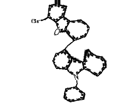 Brc1cccc2c1oc1c(-c3cccc4c3c3ccccc3n4-c3ccccc3)cccc12